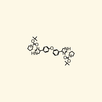 CC(C)(C)OC(=O)N1CCC[C@H]1C1=NC(c2ccc(Oc3cccc(C4CNC([C@@H]5CCCN5C(=O)OC(C)(C)C)=N4)c3)cc2)CN1